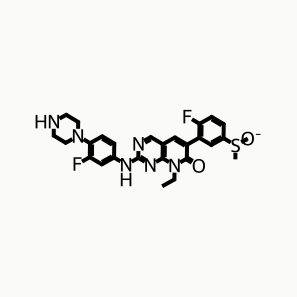 CCn1c(=O)c(-c2cc([S+](C)[O-])ccc2F)cc2cnc(Nc3ccc(N4CCNCC4)c(F)c3)nc21